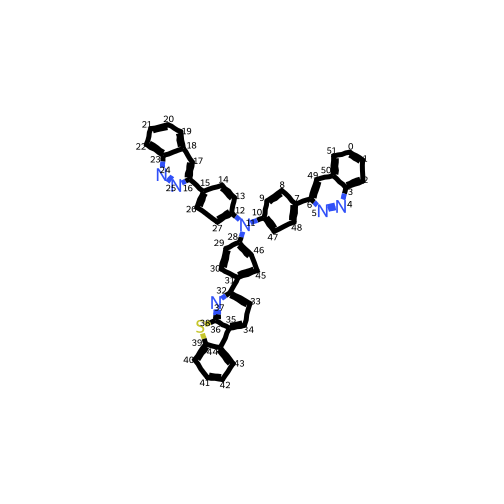 c1ccc2nnc(-c3ccc(N(c4ccc(-c5cc6ccccc6nn5)cc4)c4ccc(-c5ccc6c(n5)sc5ccccc56)cc4)cc3)cc2c1